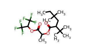 CCC(C)(C)CC(C(=O)OC(C)C(=O)OC(C(F)(F)F)C(F)(F)F)C(C)(C)C